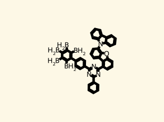 Bc1c(B)c(B)c(-c2ccc(-c3nc(-c4ccccc4)nc(-c4cccc5oc6c(-n7c8ccccc8c8ccccc87)cccc6c45)n3)cc2)c(B)c1B